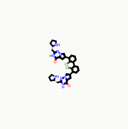 O=c1[nH]c(C[C@@H]2CCCN2)nn2cc(-c3cccc(-c4cccc(-c5cc6c(=O)[nH]c(C[C@@H]7CCCN7)nn6c5)c4Cl)c3Cl)cc12